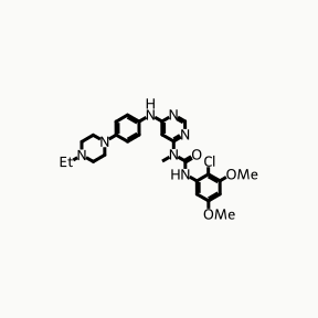 CCN1CCN(c2ccc(Nc3cc(N(C)C(=O)Nc4cc(OC)cc(OC)c4Cl)ncn3)cc2)CC1